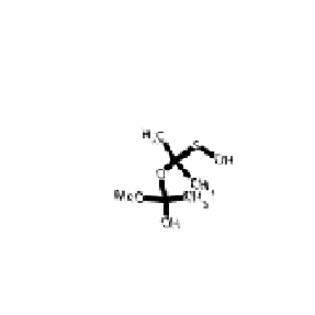 COC(C)(O)OC(C)(C)SO